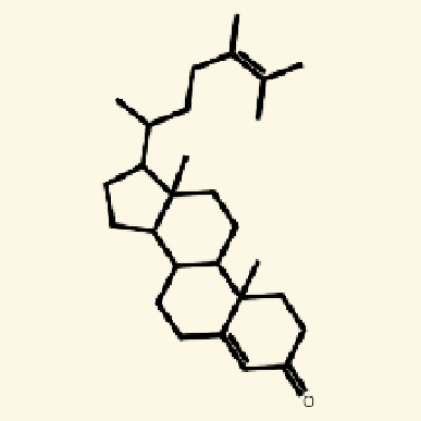 CC(C)=C(C)CCC(C)C1CCC2C3CCC4=CC(=O)CCC4(C)C3CCC12C